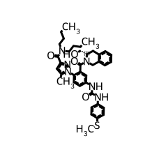 CCCCN(CCCC)C(=O)c1cc(C)n(-c2ccc(NC(=O)Nc3ccc(SC)cc3)cc2C(=O)N2Cc3ccccc3C[C@H]2CO)n1